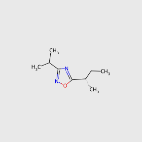 CC[C@H](C)c1nc(C(C)C)no1